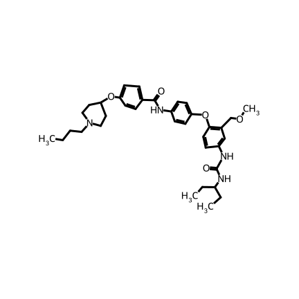 CCCCN1CCC(Oc2ccc(C(=O)Nc3ccc(Oc4ccc(NC(=O)NC(CC)CC)cc4COC)cc3)cc2)CC1